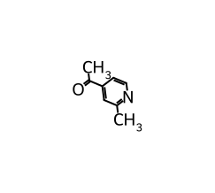 CC(=O)c1ccnc(C)c1